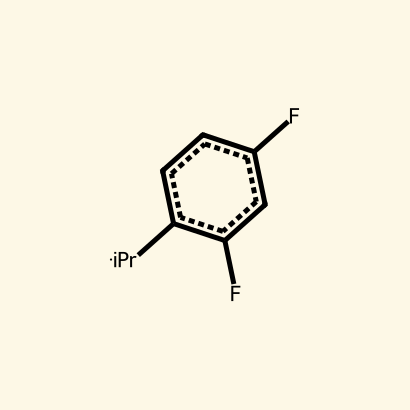 C[C](C)c1ccc(F)cc1F